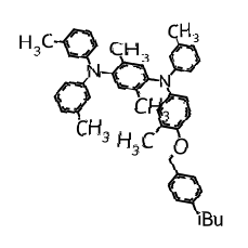 CCC(C)c1ccc(COc2ccc(N(c3cccc(C)c3)c3cc(C)c(N(c4cccc(C)c4)c4cccc(C)c4)cc3C)cc2C)cc1